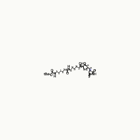 CC(C)(C)OC(=O)NCCCCCC(=O)NCCCCCN(C=O)c1ccc(/C=C2\SC(=S)NC2=O)cc1